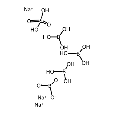 O=S(=O)(O)O.OB(O)O.OB(O)O.OB(O)O.[Na+].[Na+].[Na+].[O-]B([O-])[O-]